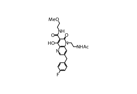 COCCNC(=O)c1c(O)c2ncc(Cc3ccc(F)cc3)cc2n(CCNC(C)=O)c1=O